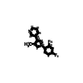 Cc1cn(-c2ccc(F)cc2F)nc1-c1cccnc1